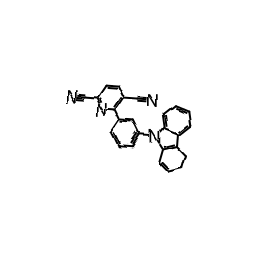 N#Cc1ccc(C#N)c(-c2cccc(-n3c4c(c5ccccc53)CCC=C4)c2)n1